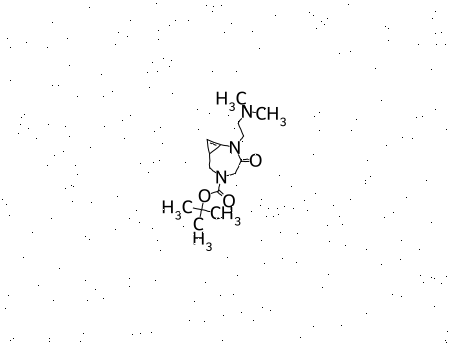 CN(C)CCN1C(=O)CN(C(=O)OC(C)(C)C)CC2C=C21